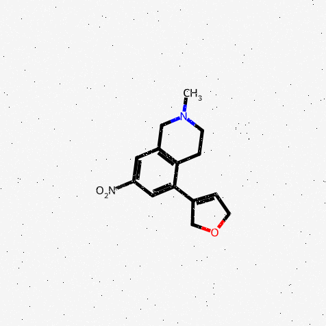 CN1CCc2c(cc([N+](=O)[O-])cc2C2=CCOC2)C1